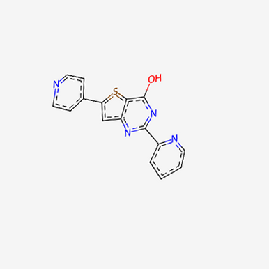 Oc1nc(-c2ccccn2)nc2cc(-c3ccncc3)sc12